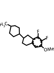 COc1cc2c(c(F)c1F)CC(C1CCC(C)CC1)CC2